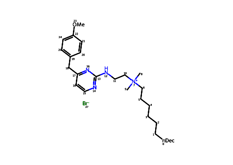 CCCCCCCCCCCCCCCC[N+](C)(C)CCNc1nccc(Cc2ccc(OC)cc2)n1.[Br-]